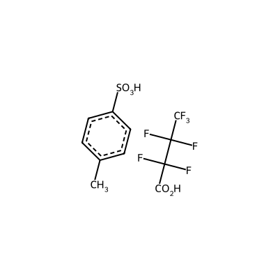 Cc1ccc(S(=O)(=O)O)cc1.O=C(O)C(F)(F)C(F)(F)C(F)(F)F